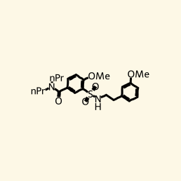 CCCN(CCC)C(=O)c1ccc(OC)c(S(=O)(=O)NCCc2cccc(OC)c2)c1